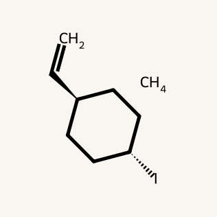 C.C=C[C@H]1CC[C@H](I)CC1